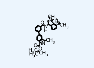 COc1cccc(C(CN(C)C)NC(=O)c2cccc(-c3ccc4c(c3)c(C)nn4C(=O)OC(C)(C)C)c2)c1